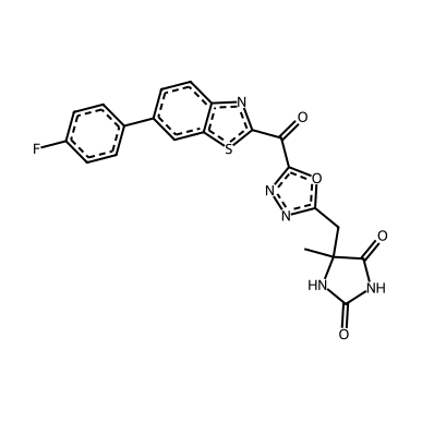 CC1(Cc2nnc(C(=O)c3nc4ccc(-c5ccc(F)cc5)cc4s3)o2)NC(=O)NC1=O